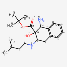 CC(C)CCNC1Cc2ccccc2C(N)C1(O)C(=O)OC(C)(C)C